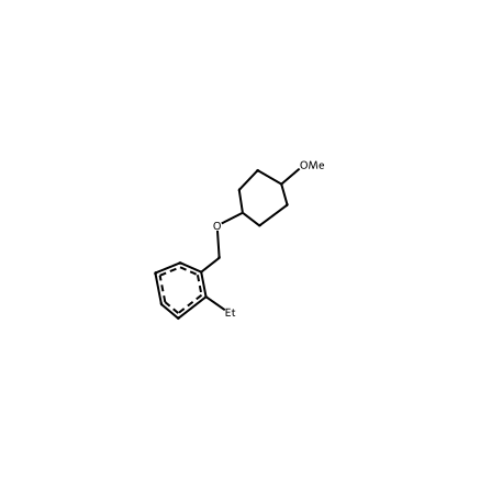 CCc1ccccc1COC1CCC(OC)CC1